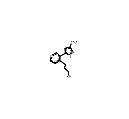 CCOC(=O)c1cc(-c2cnccc2CCCO)[nH]n1